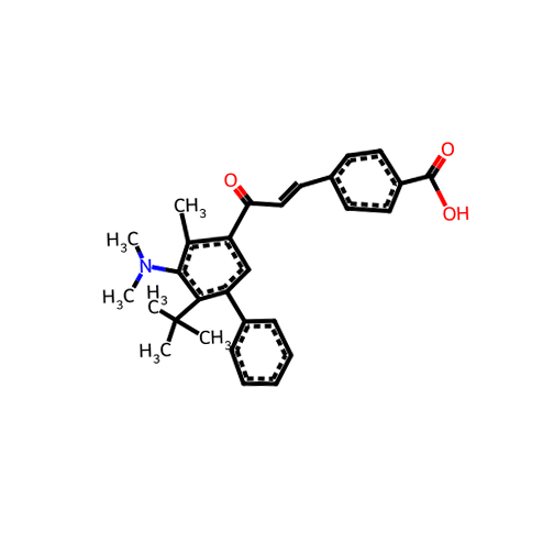 Cc1c(C(=O)/C=C/c2ccc(C(=O)O)cc2)cc(-c2ccccc2)c(C(C)(C)C)c1N(C)C